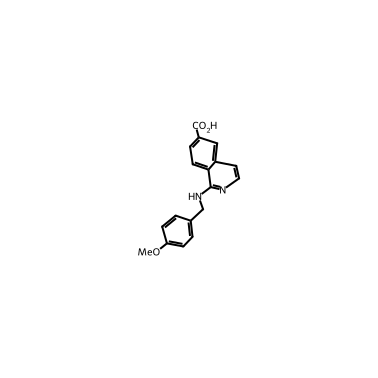 COc1ccc(CNc2nccc3cc(C(=O)O)ccc23)cc1